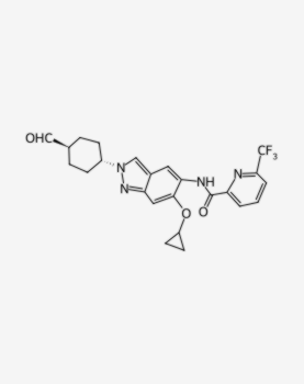 O=C[C@H]1CC[C@H](n2cc3cc(NC(=O)c4cccc(C(F)(F)F)n4)c(OC4CC4)cc3n2)CC1